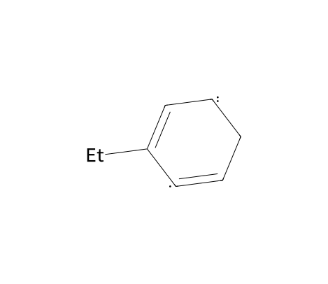 CCC1=C[C]CC=[C]1